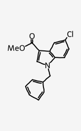 COC(=O)c1cn(Cc2ccccc2)c2ccc(Cl)cc12